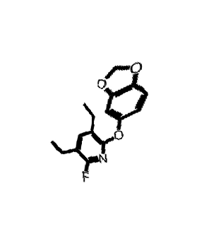 CCc1cc(CC)c(Oc2ccc3c(c2)OCO3)nc1F